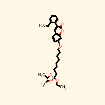 CCO[Si](CCCCCCCCOc1ccc2cc(-c3ccccc3CC)c(=O)oc2c1)(OCC)OCC